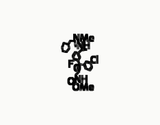 C=C(NC[C@H](CC1CCCCC1)NC)c1ccc(F)c(C(OCCNC(=O)OC)c2cccc(Cl)c2)c1